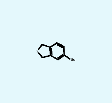 CC(C)(C)c1ccc2c(c1)CSC2